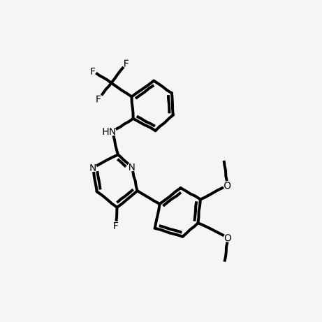 COc1ccc(-c2nc(Nc3ccccc3C(F)(F)F)ncc2F)cc1OC